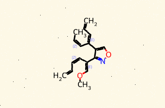 C=C/C=C\C(=C/OC)c1nocc1C(/C=C\C)=C/C=C